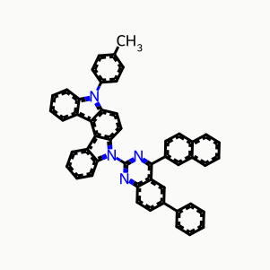 Cc1ccc(-n2c3ccccc3c3c4c5ccccc5n(-c5nc(-c6ccc7ccccc7c6)c6cc(-c7ccccc7)ccc6n5)c4ccc32)cc1